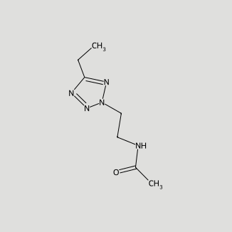 CCc1nnn(CCNC(C)=O)n1